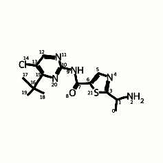 CC(N)c1ncc(C(=O)Nc2ncc(Cl)c(C(C)(C)C)n2)s1